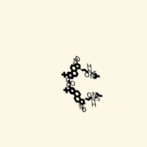 CON=C1C[C@@H](CCC(=O)Nc2ncc(C)s2)C2C3CCc4cc(OC(=O)Oc5cc6c(cc5C(C)(C)C)C5CC[C@]7(C)C(=NOC)C[C@@H](CCC(=O)Nc8ncc(C)s8)C7C5CC6)c(C(C)(C)C)cc4C3CC[C@]12C